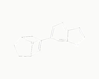 CN1C2C=C(c3ccc4ccoc4c3)CC1CC2